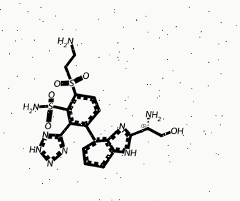 NCCS(=O)(=O)c1ccc(-c2cccc3[nH]c([C@H](N)CO)nc23)c(-c2nn[nH]n2)c1S(N)(=O)=O